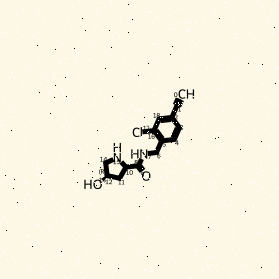 C#Cc1ccc(CNC(=O)C2C[C@@H](O)CN2)c(Cl)c1